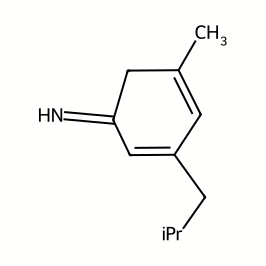 CC1=CC(CC(C)C)=CC(=N)C1